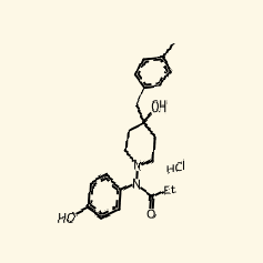 CCC(=O)N(c1ccc(O)cc1)N1CCC(O)(Cc2ccc(C)cc2)CC1.Cl